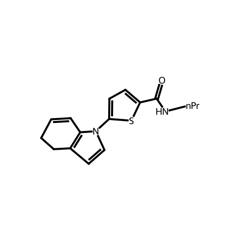 CCCNC(=O)c1ccc(-n2ccc3c2C=CCC3)s1